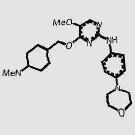 CNC1CCC(COc2nc(Nc3ccc(N4CCOCC4)cc3)ncc2OC)CC1